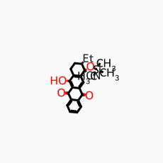 CCC1CCc2c(cc3c(c2O)C(=O)c2ccccc2C3=O)C1(C#N)O[Si](C)(C)C